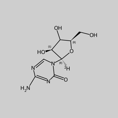 [2H][C@@]1(n2cnc(N)nc2=O)O[C@H](CO)C(O)[C@@H]1O